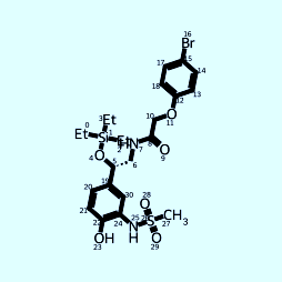 CC[Si](CC)(CC)O[C@H](CNC(=O)COc1ccc(Br)cc1)c1ccc(O)c(NS(C)(=O)=O)c1